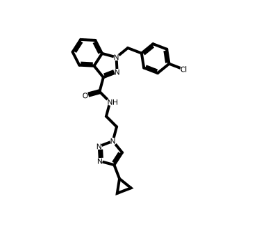 O=C(NCCn1cc(C2CC2)nn1)c1nn(Cc2ccc(Cl)cc2)c2ccccc12